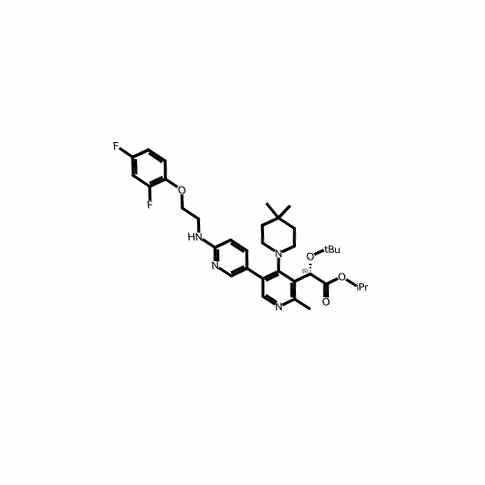 Cc1ncc(-c2ccc(NCCOc3ccc(F)cc3F)nc2)c(N2CCC(C)(C)CC2)c1[C@H](OC(C)(C)C)C(=O)OC(C)C